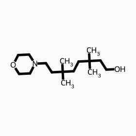 CC(C)(CCO)CCC(C)(C)CCN1CCOCC1